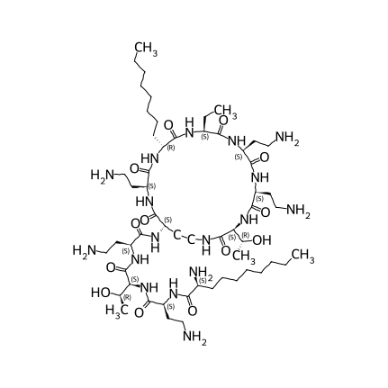 CCCCCCCC[C@H](N)C(=O)N[C@@H](CCN)C(=O)N[C@H](C(=O)N[C@@H](CCN)C(=O)N[C@H]1CCNC(=O)[C@H]([C@@H](C)O)NC(=O)[C@H](CCN)NC(=O)[C@H](CCN)NC(=O)[C@H](CC)NC(=O)[C@@H](CCCCCCCC)NC(=O)[C@H](CCN)NC1=O)[C@@H](C)O